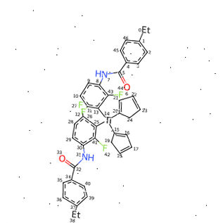 CCc1ccc(C(=O)Nc2ccc(F)[c]([Ti]([C]3=CC=CC3)([C]3=CC=CC3)[c]3c(F)ccc(NC(=O)c4ccc(CC)cc4)c3F)c2F)cc1